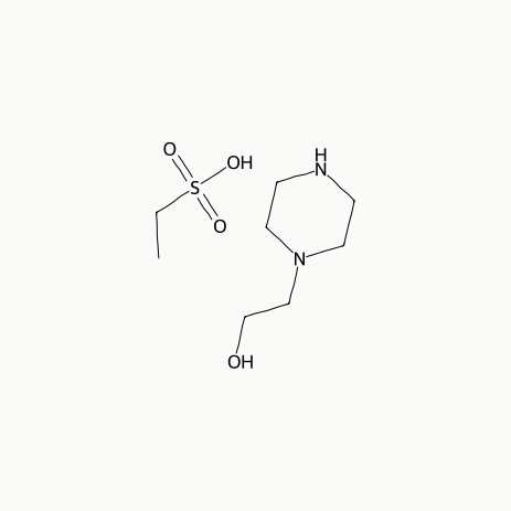 CCS(=O)(=O)O.OCCN1CCNCC1